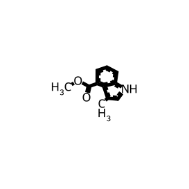 COC(=O)c1cccc2[nH]cc(C)c12